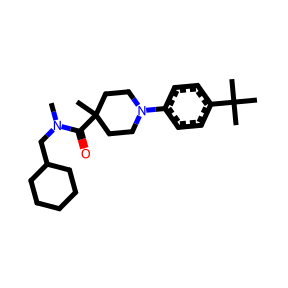 CN(CC1CCCCC1)C(=O)C1(C)CCN(c2ccc(C(C)(C)C)cc2)CC1